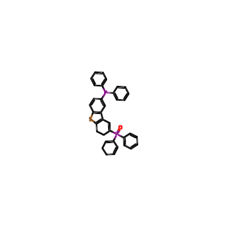 O=P(C1=CCCC=C1)(C1=Cc2c(sc3ccc(P(c4ccccc4)c4ccccc4)cc23)CC1)c1ccccc1